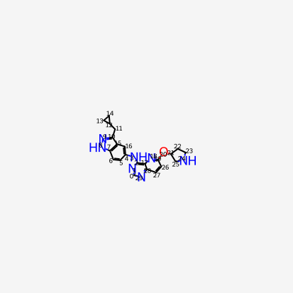 c1nc(Nc2ccc3[nH]nc(CC4CC4)c3c2)c2nc(O[C@H]3CCNC3)ccc2n1